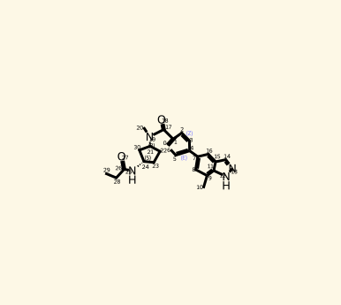 C=C(/C=C\C(=C/C)c1cc(C)c2[nH]ncc2c1)C(=O)N(C)[C@@H]1CC[C@H](NC(=O)CC)C1